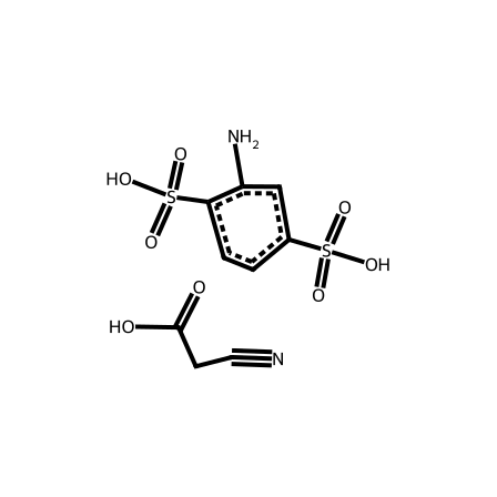 N#CCC(=O)O.Nc1cc(S(=O)(=O)O)ccc1S(=O)(=O)O